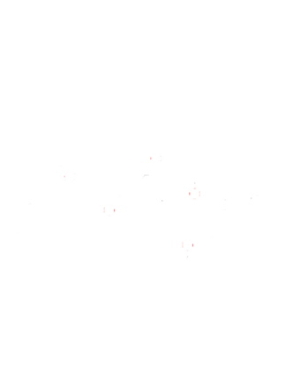 O=C(C1COc2ccccc2O1)C1COc2ccccc2O1